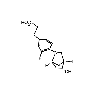 O=C(O)CCc1ccc(N2C[C@@H]3C[C@H]2C[C@H]3O)c(F)c1